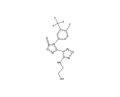 O=c1onc(-c2nonc2NCCO)n1-c1ccc(F)c(C(F)(F)F)c1